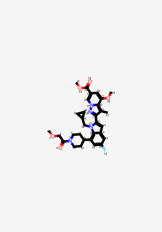 COCC(=O)N1CCC(c2cc(F)cc3cc(-c4nn5cc(C(=O)OC)cc(OC)c5c4C)n(CC4CC4)c23)CC1